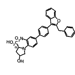 O=C(O)[C@@H]1CC(O)CN1c1ccc(-c2ccc(-c3c(Cc4ccccc4)oc4ccccc34)cc2)cc1[N+](=O)[O-]